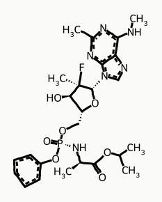 CNc1nc(C)nc2c1ncn2[C@@H]1O[C@H](CO[P@@](=O)(N[C@H](C)C(=O)OC(C)C)Oc2ccccc2)[C@@H](O)[C@@]1(C)F